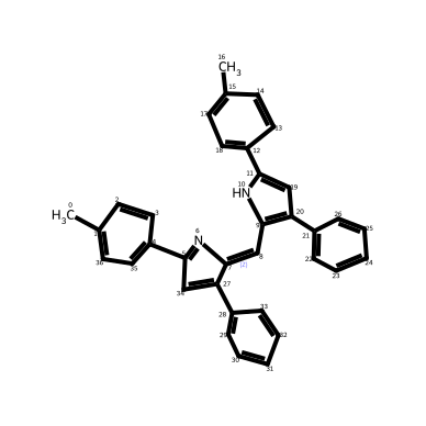 Cc1ccc(C2=N/C(=C\c3[nH]c(-c4ccc(C)cc4)cc3-c3ccccc3)C(c3ccccc3)=C2)cc1